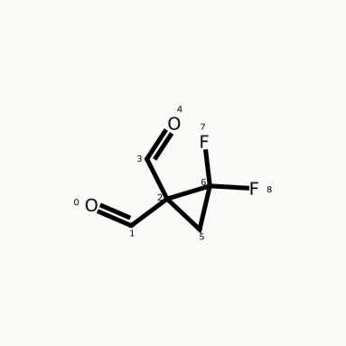 O=CC1(C=O)CC1(F)F